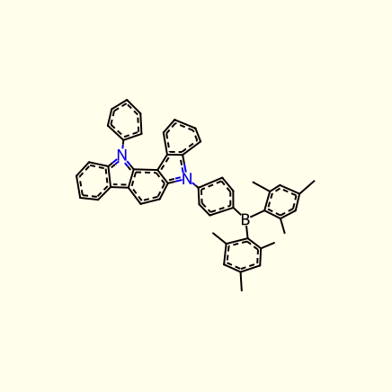 Cc1cc(C)c(B(c2ccc(-n3c4ccccc4c4c3ccc3c5ccccc5n(-c5ccccc5)c34)cc2)c2c(C)cc(C)cc2C)c(C)c1